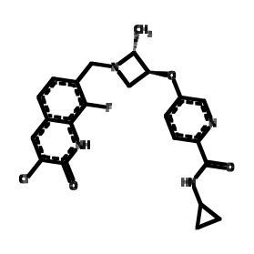 C[C@@H]1[C@@H](Oc2ccc(C(=O)NC3CC3)nc2)CN1Cc1ccc2cc(Cl)c(=O)[nH]c2c1F